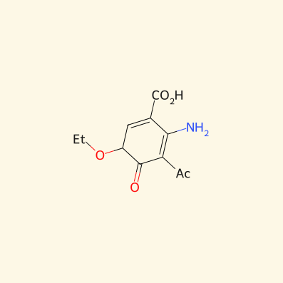 CCOC1C=C(C(=O)O)C(N)=C(C(C)=O)C1=O